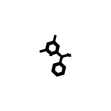 CC(=O)N(c1ccccc1)c1cc(C)cc(C)n1